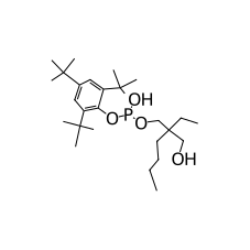 CCCCC(CC)(CO)COP(O)Oc1c(C(C)(C)C)cc(C(C)(C)C)cc1C(C)(C)C